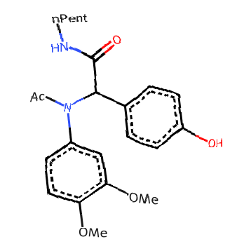 CCCCCNC(=O)C(c1ccc(O)cc1)N(C(C)=O)c1ccc(OC)c(OC)c1